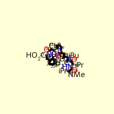 CC[C@H](C)C(C(CC(=O)N1CCC[C@H]1C(OC)[C@@H](C)C(=O)NC(Cc1ccc(F)cc1)C(=O)O)OC)N(C)C(=O)[C@@H](NC(=O)[C@@H](NC)C(C)C)C(C)C